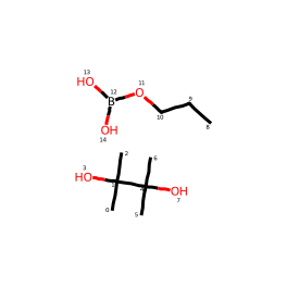 CC(C)(O)C(C)(C)O.CCCOB(O)O